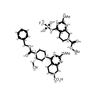 CSc1nc2c(c(N3CCN(C(=O)OCc4ccccc4)[C@@H](CC#N)C3)n1)CCN(C(=O)O)C2.CSc1nc2c(c(OS(=O)(=O)C(F)(F)F)n1)CCN(C(=O)OC(C)(C)C)C2